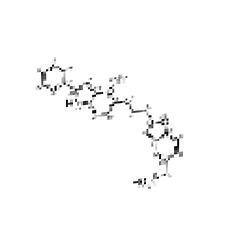 CCCc1c(OCCc2cc3cc(CC(=O)O)ccc3o2)ccc2[nH]c(-c3ccccc3)cc12